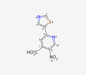 O=C(O)c1cc(-c2cncs2)ncc1[N+](=O)[O-]